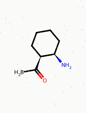 BC(=O)[C@H]1CCCC[C@H]1N